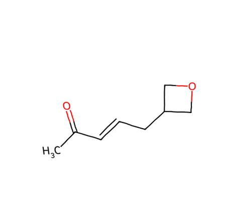 CC(=O)C=CCC1COC1